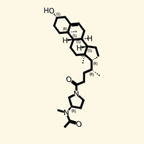 CC(=O)N(C)[C@@H]1CCN(C(=O)CC[C@@H](C)[C@H]2CC[C@H]3[C@@H]4CC=C5C[C@@H](O)CC[C@]5(C)[C@H]4CC[C@]23C)C1